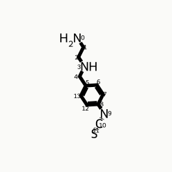 NCCNCc1ccc(N=C=S)cc1